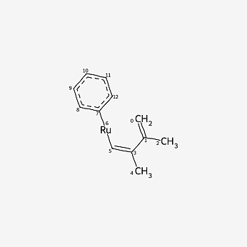 C=C(C)C(C)=[CH][Ru][c]1ccccc1